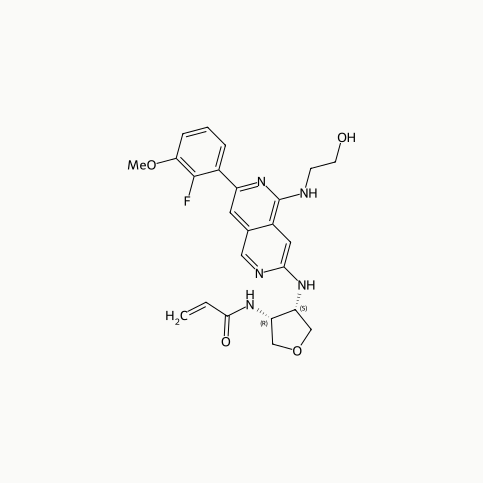 C=CC(=O)N[C@H]1COC[C@H]1Nc1cc2c(NCCO)nc(-c3cccc(OC)c3F)cc2cn1